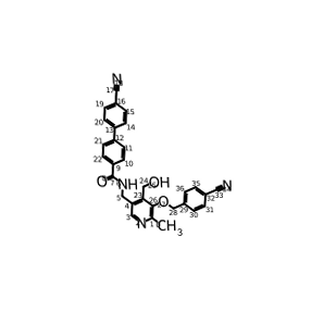 Cc1ncc(CNC(=O)c2ccc(-c3ccc(C#N)cc3)cc2)c(CO)c1OCc1ccc(C#N)cc1